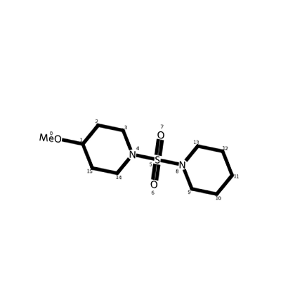 COC1CCN(S(=O)(=O)N2CCCCC2)CC1